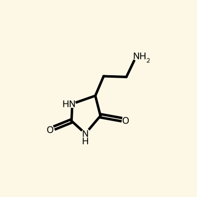 NCCC1NC(=O)NC1=O